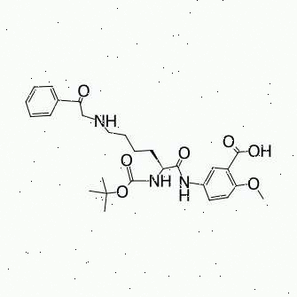 COc1ccc(NC(=O)[C@H](CCCCNCC(=O)c2ccccc2)NC(=O)OC(C)(C)C)cc1C(=O)O